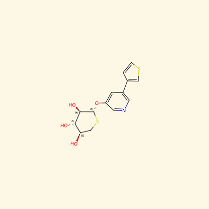 O[C@@H]1[C@@H](O)[C@H](Oc2cncc(-c3ccsc3)c2)SC[C@H]1O